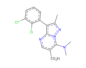 CCOC(=O)c1cnc2c(-c3cccc(Cl)c3Cl)c(C)nn2c1N(C)C